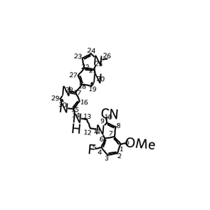 COc1ccc(F)c2c1cc(C#N)n2CCNc1cc(-c2cnc3c(ccn3C)c2)ncn1